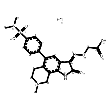 CN1CCc2c(-c3ccc(S(=O)(=O)N(C)C)cc3)cc3c(c2C1)NC(=O)C3=NOCC(=O)O.Cl